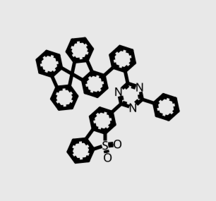 O=S1(=O)c2ccccc2-c2ccc(-c3nc(-c4ccccc4)nc(-c4ccccc4-c4cccc5c4-c4ccccc4C54c5ccccc5-c5ccccc54)n3)cc21